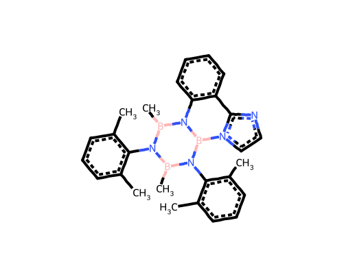 CB1N2B(N(c3c(C)cccc3C)B(C)N1c1c(C)cccc1C)n1ccnc1-c1ccccc12